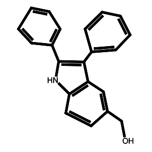 OCc1ccc2[nH]c(-c3ccccc3)c(-c3ccccc3)c2c1